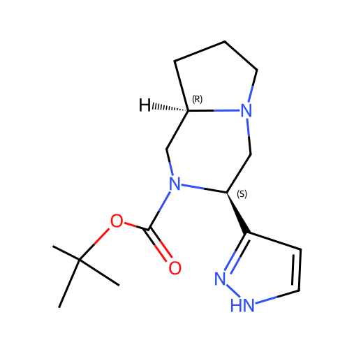 CC(C)(C)OC(=O)N1C[C@H]2CCCN2C[C@H]1c1cc[nH]n1